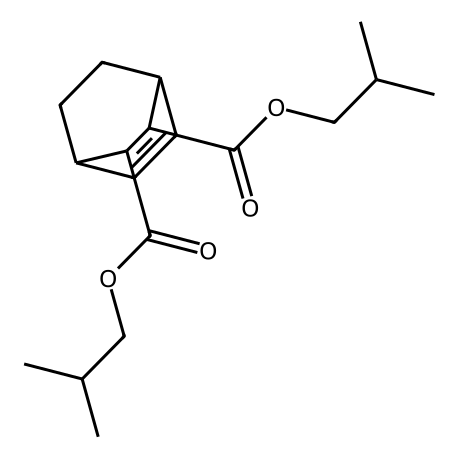 CC(C)COC(=O)C1=C(C(=O)OCC(C)C)C2C=CC1CC2